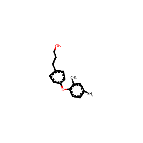 Bc1ccc(Oc2ccc(CCCO)cc2)c(C=O)c1